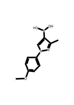 COc1ccc(-n2cc(B(O)O)c(C)n2)cc1